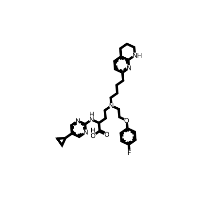 O=C(O)C(CCN(CCCCc1ccc2c(n1)NCCC2)CCOc1ccc(F)cc1)Nc1ncc(C2CC2)cn1